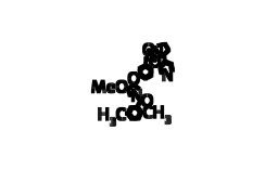 CO[C@@H]1CN(C(=O)c2cc(C)ccc2C)C[C@H]1Oc1cccc(CS(=O)(=O)N2CCCC2c2ccncc2)c1